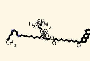 CCCCC/C=C\C/C=C\CCCCCCCCOC[C@@H](COC(=O)CCCCCCCCCC(=O)c1ccc2cc3ccccc3cc2c1)OP(=O)([O-])OCC[N+](C)(C)C